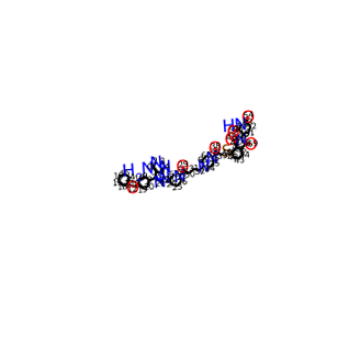 Nc1ncnc2c1c(-c1ccc(Oc3ccccc3)cc1)nn2[C@@H]1CCCN(C(=O)CCCN2CCN(C(=O)CSc3cccc4c3C(=O)N(C3CCC(=O)NC3=O)C4=O)CC2)C1